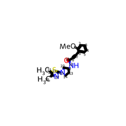 COc1ccccc1C#CC(=O)NC1CCN(c2nc(C)c(C)s2)C1